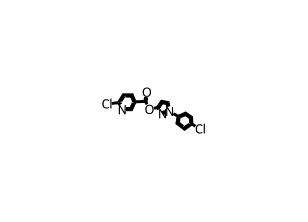 O=C(Oc1ccn(-c2ccc(Cl)cc2)n1)c1ccc(Cl)nc1